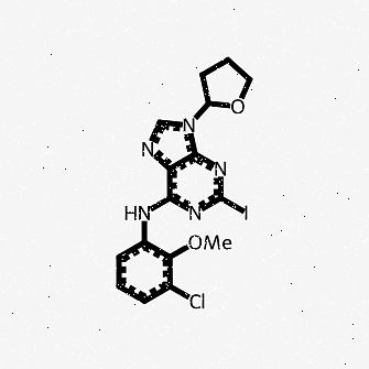 COc1c(Cl)cccc1Nc1nc(I)nc2c1ncn2C1CCCO1